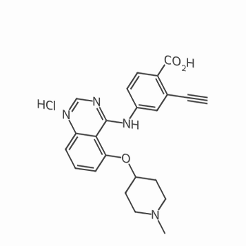 C#Cc1cc(Nc2ncnc3cccc(OC4CCN(C)CC4)c23)ccc1C(=O)O.Cl